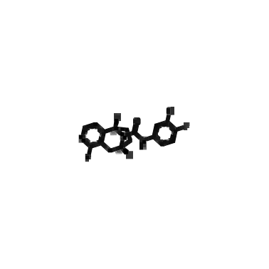 O=C(Nc1ccc(F)c(Cl)c1)N1[C@@H]2CC[C@H]1c1ccnc(F)c1C2